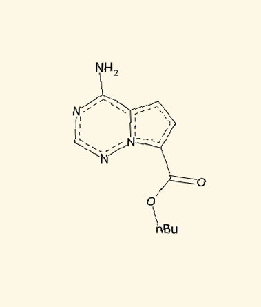 CCCCOC(=O)c1ccc2c(N)ncnn12